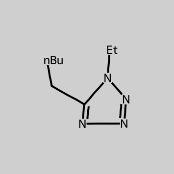 CCCCCc1nnnn1CC